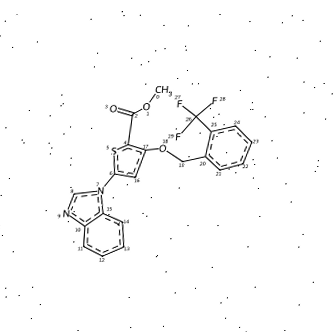 COC(=O)c1sc(-n2cnc3ccccc32)cc1OCc1ccccc1C(F)(F)F